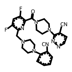 N#Cc1ccccc1N1CCN(Cc2nc(C(=O)N3CCN(c4nnccc4C#N)CC3)c(F)cc2F)CC1